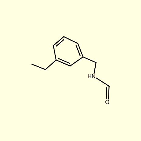 CCc1cccc(CNC=O)c1